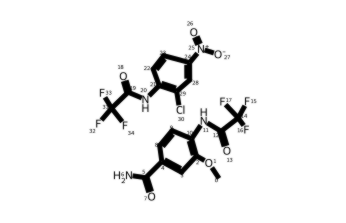 COc1cc(C(N)=O)ccc1NC(=O)C(F)(F)F.O=C(Nc1ccc([N+](=O)[O-])cc1Cl)C(F)(F)F